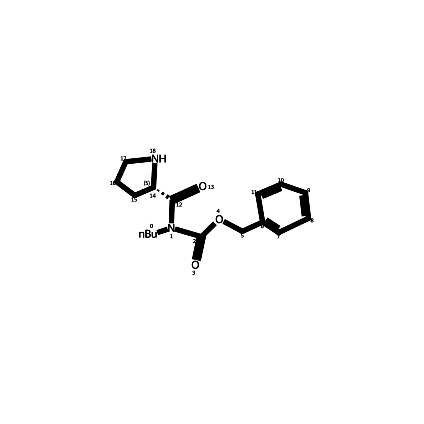 CCCCN(C(=O)OCc1ccccc1)C(=O)[C@@H]1CCCN1